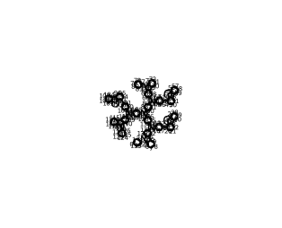 c1ccc(-n2c3ccccc3c3cc(N(c4ccc(-c5cccc6c5oc5ccccc56)cc4)c4ccc(N(c5ccc(N(c6ccc(-c7cccc8c7oc7ccccc78)cc6)c6ccc7c(c6)c6ccccc6n7-c6ccccc6)cc5)c5ccc(N(c6ccc(-c7cccc8c7oc7ccccc78)cc6)c6ccc7c(c6)c6ccccc6n7-c6ccccc6)cc5)cc4)ccc32)cc1